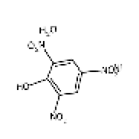 O.O=[N+]([O-])c1cc([N+](=O)[O-])c(O)c([N+](=O)[O-])c1.[Ni]